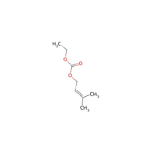 CCOC(=O)OCC=C(C)C